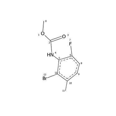 COC(=O)Nc1c(F)ccc(C)c1Br